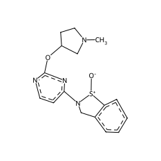 CN1CCC(Oc2nccc(N3Cc4ccccc4[S+]3[O-])n2)C1